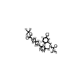 CN(C)C(=O)N1Cc2cc(Cl)ccc2-n2c(nnc2N2CC3(CN(C(=O)OC(C)(C)C)C3)C2)C1